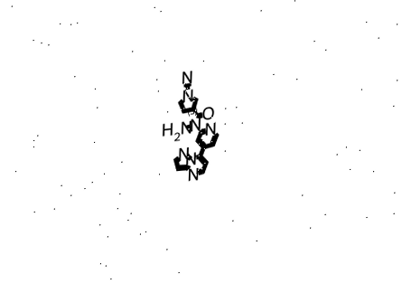 N#CN1CC[C@H](C(=O)N(N)c2cc(-c3ccnc4ccnn34)ccn2)C1